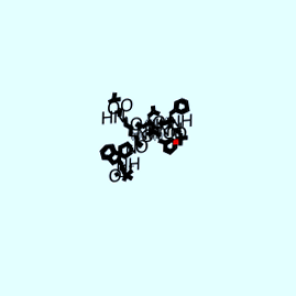 CC(C)C[C@@H](NC(=O)[C@@H](Cc1ccccc1)NC(=O)[C@@H](Cc1ccccc1)NC(=O)OC(C)(C)C)C(=O)N[C@H](CCCCNC(=O)OC(C)(C)C)C(=O)N1CCC2(CC1)c1ccccc1CC2N[S+]([O-])C(C)(C)C